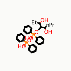 CCCC(O)C(C)C(O)CC.O=P(O)(c1ccccc1)c1ccccc1.O=P(O)(c1ccccc1)c1ccccc1